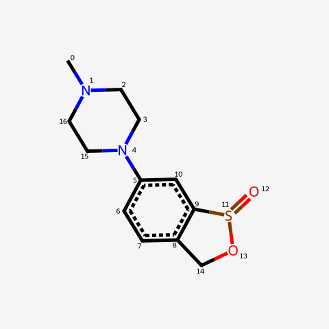 CN1CCN(c2ccc3c(c2)S(=O)OC3)CC1